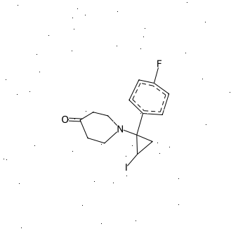 O=C1CCN(C2(c3ccc(F)cc3)CC2I)CC1